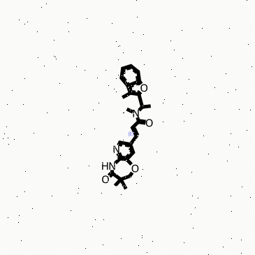 Cc1c(C(C)N(C)C(=O)/C=C/c2cnc3c(c2)OCC(C)(C)C(=O)N3)oc2ccccc12